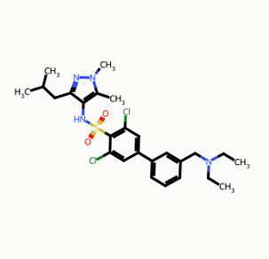 CCN(CC)Cc1cccc(-c2cc(Cl)c(S(=O)(=O)Nc3c(CC(C)C)nn(C)c3C)c(Cl)c2)c1